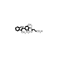 Cc1cc(-c2[nH]c3ccccc3c2C)cc(C)c1OC(=O)CCC(=O)O